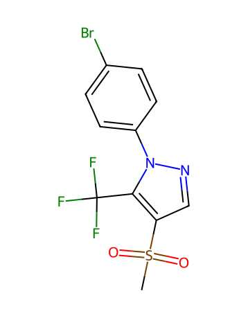 CS(=O)(=O)c1cnn(-c2ccc(Br)cc2)c1C(F)(F)F